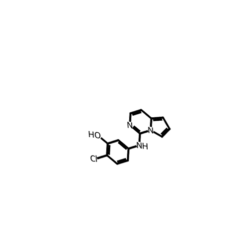 Oc1cc(Nc2nccc3cccn23)ccc1Cl